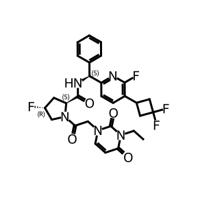 CCn1c(=O)ccn(CC(=O)N2C[C@H](F)C[C@H]2C(=O)N[C@@H](c2ccccc2)c2ccc(C3CC(F)(F)C3)c(F)n2)c1=O